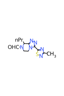 CCCC1c2nnc(-c3nc(C)ns3)n2CCN1C=O